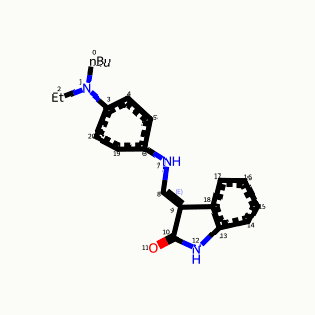 CCCCN(CC)c1ccc(N/C=C2/C(=O)Nc3ccccc32)cc1